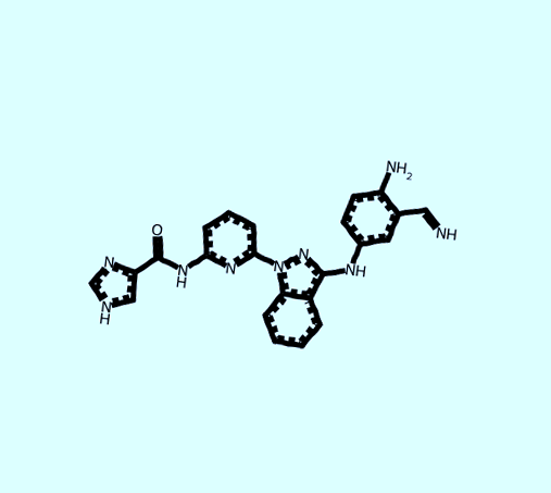 N=Cc1cc(Nc2nn(-c3cccc(NC(=O)c4c[nH]cn4)n3)c3ccccc23)ccc1N